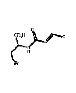 CC(C)C[C@H](NC(=O)C=CF)C(=O)O